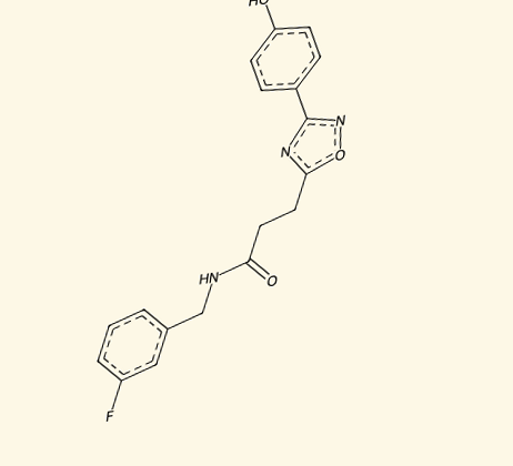 O=C(CCc1nc(-c2ccc(O)cc2)no1)NCc1cccc(F)c1